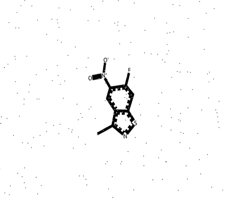 Cc1nsc2cc(F)c([N+](=O)[O-])cc12